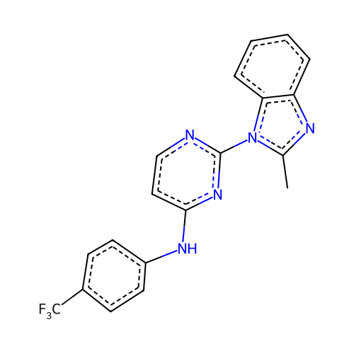 Cc1nc2ccccc2n1-c1nccc(Nc2ccc(C(F)(F)F)cc2)n1